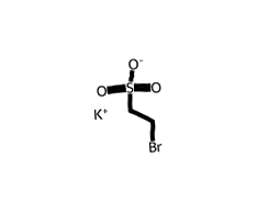 O=S(=O)([O-])CCBr.[K+]